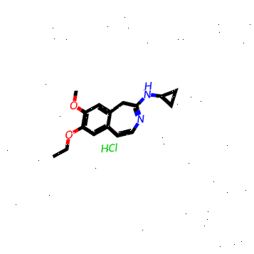 CCOc1cc2c(cc1OC)CC(NC1CC1)=NC=C2.Cl